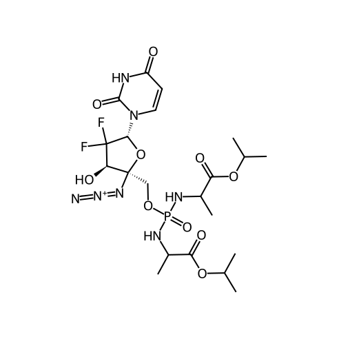 CC(C)OC(=O)C(C)NP(=O)(NC(C)C(=O)OC(C)C)OC[C@@]1(N=[N+]=[N-])O[C@@H](n2ccc(=O)[nH]c2=O)C(F)(F)[C@@H]1O